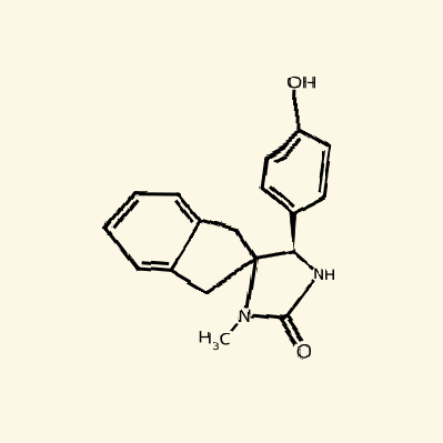 CN1C(=O)N[C@H](c2ccc(O)cc2)C12Cc1ccccc1C2